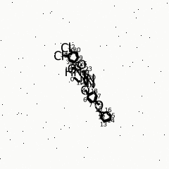 CCn1c(Oc2ccc(OCc3ccccc3)cc2)nnc1[C@@H](C)NS(=O)(=O)c1ccc(Cl)c(Cl)c1